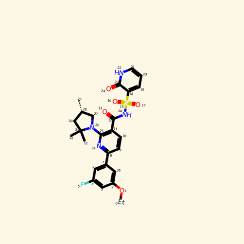 CCOc1cc(F)cc(-c2ccc(C(=O)NS(=O)(=O)c3ccc[nH]c3=O)c(N3C[C@@H](C)CC3(C)C)n2)c1